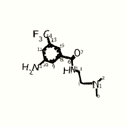 CN(C)CCNC(=O)c1cc(N)cc(C(F)(F)F)c1